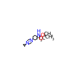 CC(C)(C)OC(=O)N[C@H]1CC[C@@H](N2CCN(C3CC3)CC2)CC1